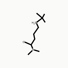 CN(C)C(Cl)CCC[SiH2]C(C)(C)C